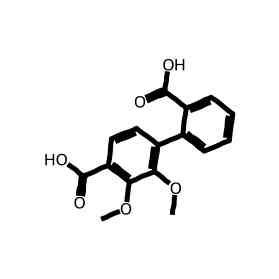 COc1c(C(=O)O)ccc(-c2ccccc2C(=O)O)c1OC